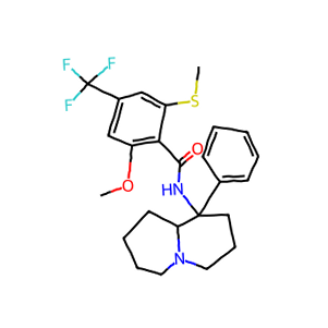 COc1cc(C(F)(F)F)cc(SC)c1C(=O)NC1(c2ccccc2)CCCN2CCCCC21